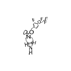 O=C(OCc1ccc(OCC(F)(F)F)c(F)c1)N1CC[C@@H]2CNC[C@H]2CC1